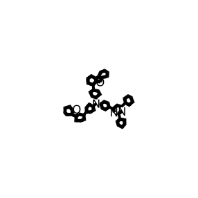 c1ccc(-c2cc(-c3ccc(N(c4ccc(-c5cccc6c5oc5ccccc56)cc4)c4ccc(-c5cccc6c5oc5ccccc56)cc4)cc3)nc(-c3ccccc3)n2)cc1